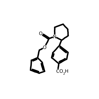 O=C(O)c1ccc(C2CCCCN2C(=O)OCc2ccccc2)cc1